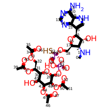 CN[C@H]1[C@@H](O)[C@H](c2c[nH]c3c(N)ncnc23)O[C@@H]1COP(=O)(S)OP(=O)(O)OC1OC([C@H](COC(C)=O)OC(C)=O)C(O)C(OC(C)=O)C1OC(C)=O